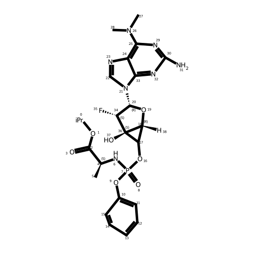 CC(C)OC(=O)[C@H](C)NP(=O)(Oc1ccccc1)OC1[C@H]2O[C@@H](n3cnc4c(N(C)C)nc(N)nc43)[C@@H](F)[C@@]12O